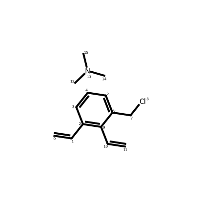 C=Cc1cccc(CCl)c1C=C.CN(C)C